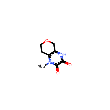 CCCCn1c2c([nH]c(=O)c1=O)COCC2